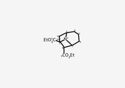 CCOC(=O)CN1C2CCCC1C(C(=O)OCC)CC2